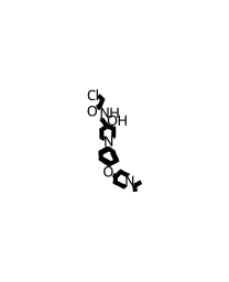 CC(C)N1CCC(Oc2ccc(N3CCC(O)(CNC(=O)CCl)CC3)cc2)CC1